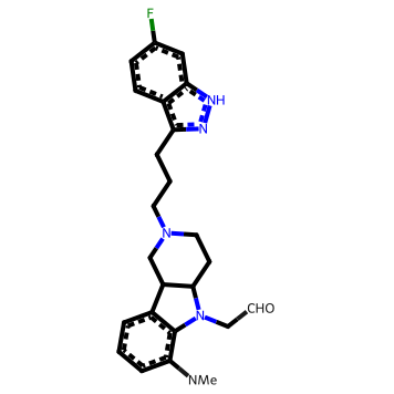 CNc1cccc2c1N(CC=O)C1CCN(CCCc3n[nH]c4cc(F)ccc34)CC21